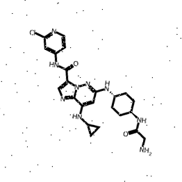 NCC(=O)N[C@H]1CC[C@H](Nc2cc(NC3CC3)c3ncc(C(=O)Nc4ccnc(Cl)c4)n3n2)CC1